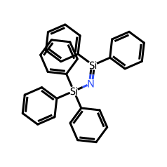 c1ccc([Si](=N[Si](c2ccccc2)(c2ccccc2)c2ccccc2)c2ccccc2)cc1